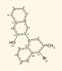 Cc1cc(-c2cc3ccccc3cc2O)c2ccccc2c1Br